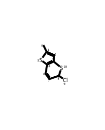 Cc1cc2c(s1)C=CC(Cl)S2